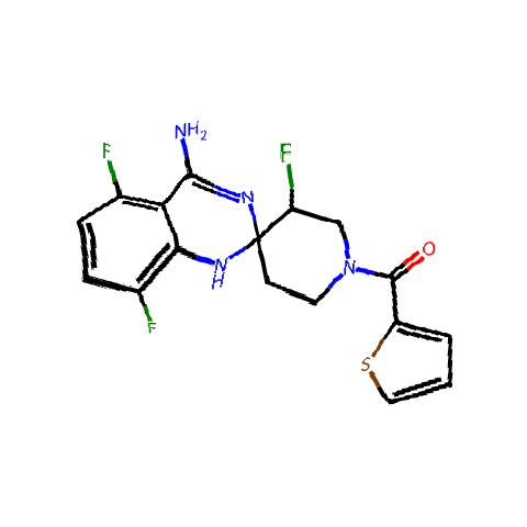 NC1=NC2(CCN(C(=O)c3cccs3)CC2F)Nc2c(F)ccc(F)c21